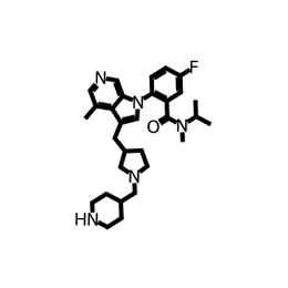 Cc1cncc2c1c(CC1CCN(CC3CCNCC3)C1)cn2-c1ccc(F)cc1C(=O)N(C)C(C)C